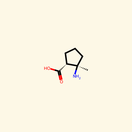 C[C@@]1(N)CCC[C@H]1C(=O)O